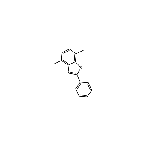 Cc1ccc(C)c2sc(-c3ccccc3)nc12